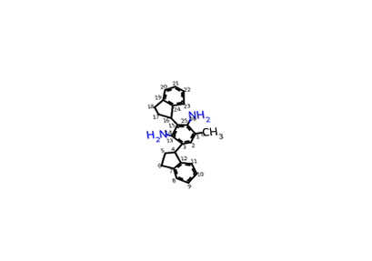 Cc1cc(C2CCc3ccccc32)c(N)c(C2CCc3ccccc32)c1N